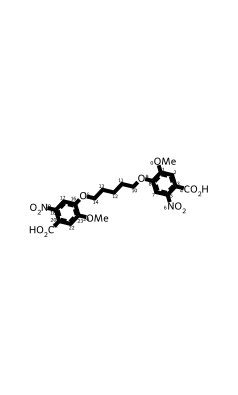 COc1cc(C(=O)O)c([N+](=O)[O-])cc1OCCCCCOc1cc([N+](=O)[O-])c(C(=O)O)cc1OC